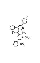 Cc1ccc(-c2cc(-c3ccccc3)c3c(C4CC4)c4n(c(=O)c3n2)C(C(=O)O)CC(c2ccccc2[N+](=O)[O-])S4)cc1